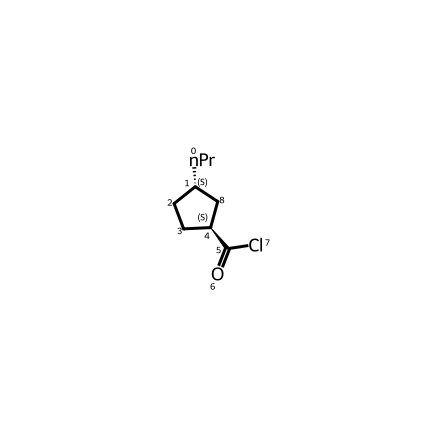 CCC[C@H]1CC[C@H](C(=O)Cl)C1